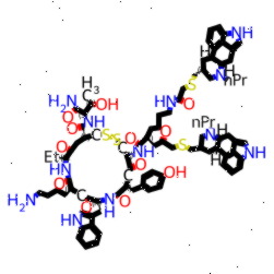 CCCN1CC(CSCC(=O)C[C@H](CCCCNC(=O)CSC[C@@H]2C[C@@H]3c4cccc5[nH]cc(c45)C[C@H]3N(CCC)C2)C(=O)N[C@H]2CSSC[C@@H](C(=O)N[C@H](C(N)=O)[C@@H](C)O)CC(=O)[C@H](CC)NC(=O)[C@H](CCCCN)CC(=O)[C@@H](Cc3c[nH]c4ccccc34)NC(=O)[C@H](Cc3ccc(O)cc3)CC2=O)C[C@@H]2c3cccc4[nH]cc(c34)C[C@H]21